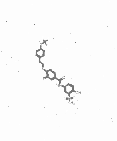 CS(=O)(=O)c1cc(NC(=O)c2ccc(SCCc3ccc(OC(F)(F)F)cc3)c(F)c2)ccc1O